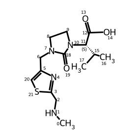 CNCc1nc(CN2CCN([C@H](C(=O)O)C(C)C)C2=O)cs1